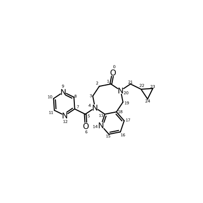 O=C1CCN(C(=O)c2cnccn2)c2ncccc2CN1CC1CC1